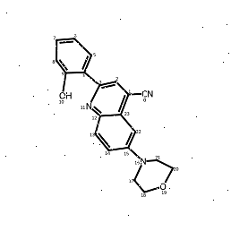 N#Cc1cc(-c2ccccc2O)nc2ccc(N3CCOCC3)cc12